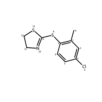 Cc1cc(Cl)ccc1SC1=NCCS1